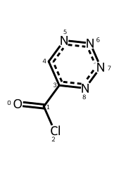 O=C(Cl)c1cnnnn1